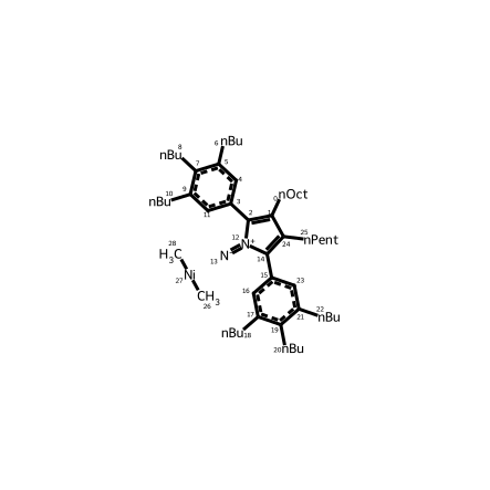 CCCCCCCCC1=C(c2cc(CCCC)c(CCCC)c(CCCC)c2)[N+](=[N-])C(c2cc(CCCC)c(CCCC)c(CCCC)c2)=C1CCCCC.[CH3][Ni][CH3]